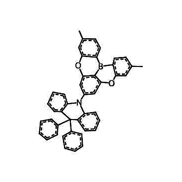 Cc1ccc2c(c1)Oc1cc(N3c4ccccc4C(c4ccccc4)(c4ccccc4)c4ccccc43)cc3c1B2c1ccc(C)cc1O3